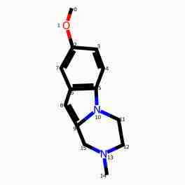 COc1ccc2c(c1)cc1n2CCN(C)C1